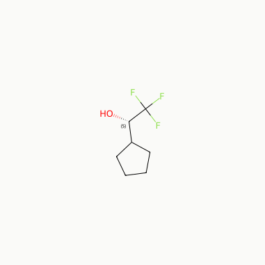 O[C@@H](C1CCCC1)C(F)(F)F